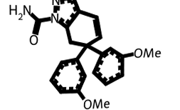 COc1cccc(C2(c3cccc(OC)c3)C=Cc3[c]nn(C(N)=O)c3C2)c1